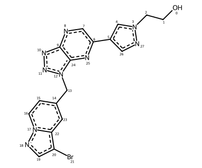 OCCn1cc(-c2cnc3nnn(Cc4ccn5ncc(Br)c5c4)c3n2)cn1